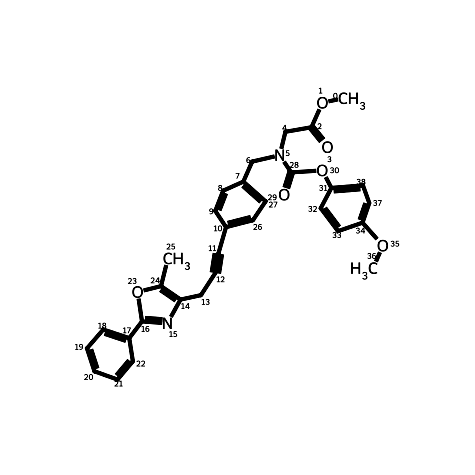 COC(=O)CN(Cc1ccc(C#CCc2nc(-c3ccccc3)oc2C)cc1)C(=O)Oc1ccc(OC)cc1